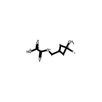 CC1(F)CC(COC(=O)C(=O)O)C1